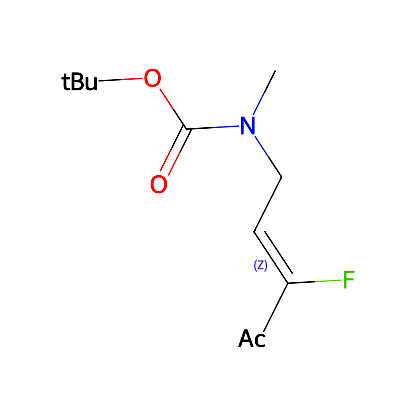 CC(=O)/C(F)=C/CN(C)C(=O)OC(C)(C)C